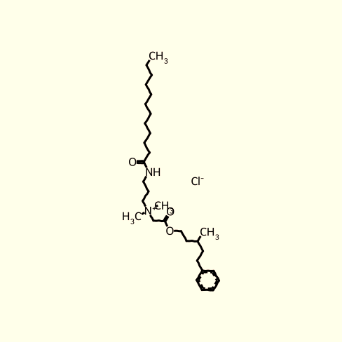 CCCCCCCCCCCC(=O)NCCC[N+](C)(C)CC(=O)OCCC(C)CCc1ccccc1.[Cl-]